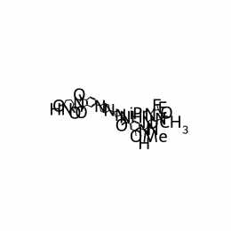 COc1cc(C(=O)NN2CC(N3CCN(c4ccc5c(c4)C(=O)N(C4CCC(=O)NC4=O)C5=O)CC3)C2)ccc1Nc1ncc2c(n1)N(C(C)C)CC(F)(F)C(=O)N2C